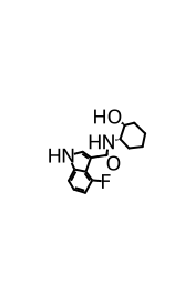 O=C(N[C@H]1CCCC[C@@H]1O)c1c[nH]c2cccc(F)c12